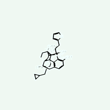 CO[C@]12CC[C@@]3(CC1C(C)(O)CCc1cccs1)[C@H]1Cc4ccc(O)c5c4[C@@]3(CCN1CC1CC1)[C@]2(C)O5